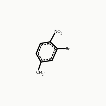 [CH2]c1ccc([N+](=O)[O-])c(Br)c1